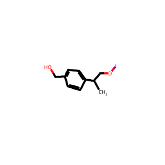 CC(COI)c1ccc(CO)cc1